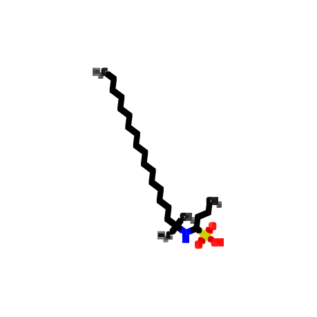 CCCCCCCCCCCCCCCCCC(C)(C)NC(CCC)S(=O)(=O)O